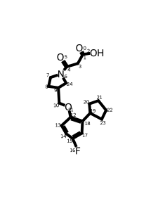 O=C(O)CC(=O)N1CCC(COc2ccc(F)cc2C2CCCC2)C1